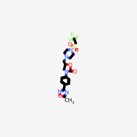 Cc1nc(-c2ccc(N3CC(CN4CCN(S(=O)(=O)CC(F)(F)F)CC4)OC3=O)cc2)no1